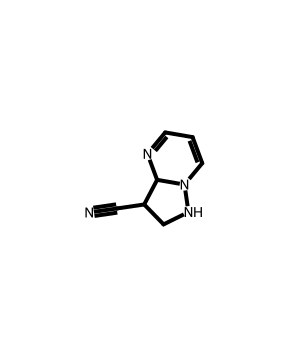 N#CC1CNN2C=CC=NC12